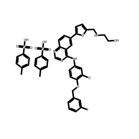 Cc1ccc(S(=O)(=O)O)cc1.Cc1ccc(S(=O)(=O)O)cc1.OCCNCc1ccc(-c2ccc3ncnc(Nc4ccc(OCc5cccc(F)c5)c(Cl)c4)c3c2)o1